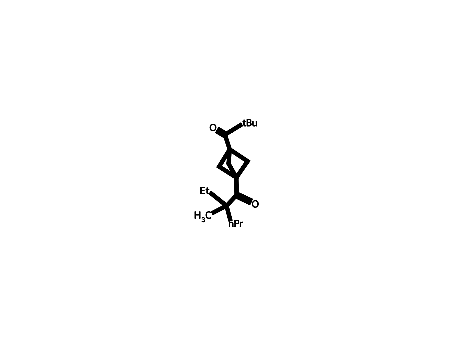 CCCC(C)(CC)C(=O)C12CC(C(=O)C(C)(C)C)(C1)C2